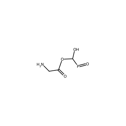 NCC(=O)OC(O)P=O